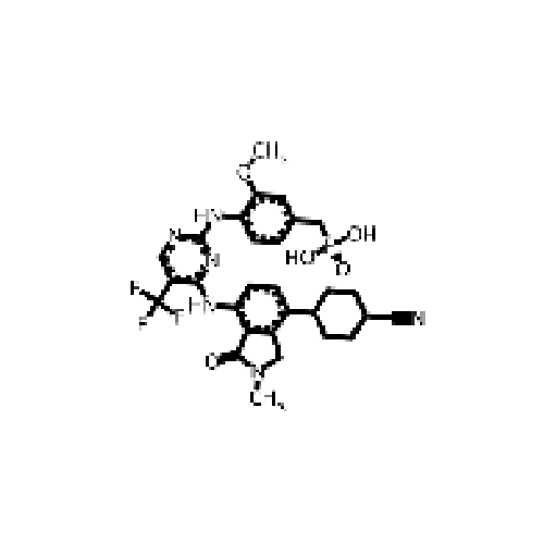 COc1cc(CP(=O)(O)O)ccc1Nc1ncc(C(F)(F)F)c(Nc2ccc(C3CCC(C#N)CC3)c3c2C(=O)N(C)C3)n1